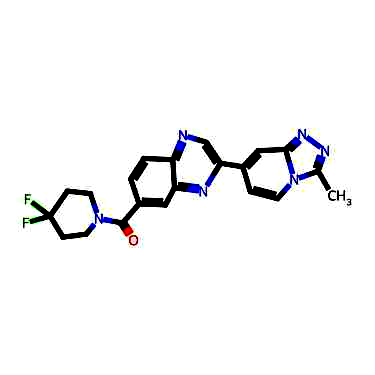 Cc1nnc2cc(-c3cnc4ccc(C(=O)N5CCC(F)(F)CC5)cc4n3)ccn12